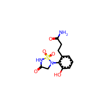 NC(=O)CCc1cccc(O)c1N1CC(=O)NS1(=O)=O